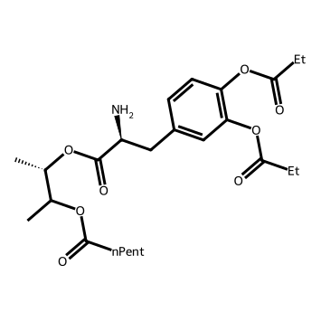 CCCCCC(=O)OC(C)[C@H](C)OC(=O)[C@@H](N)Cc1ccc(OC(=O)CC)c(OC(=O)CC)c1